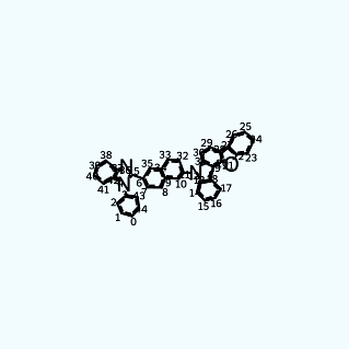 c1ccc(-n2c(-c3ccc4cc(-n5c6ccccc6c6c7oc8ccccc8c7ccc65)ccc4c3)nc3ccccc32)cc1